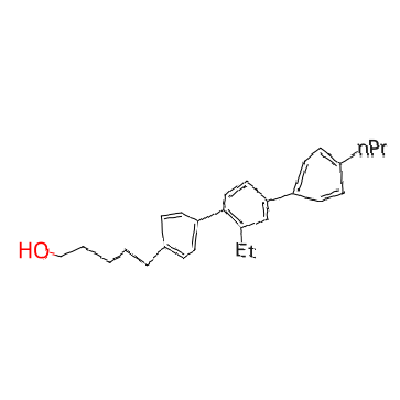 CCCc1ccc(-c2ccc(-c3ccc(CCCCCO)cc3)c(CC)c2)cc1